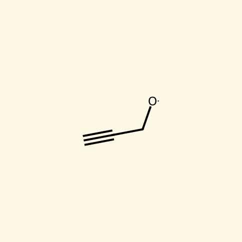 C#CC[O]